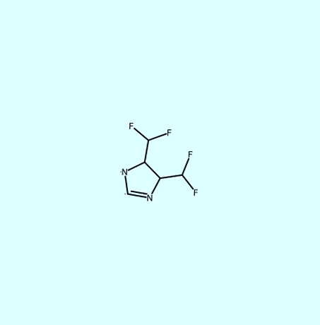 FC(F)C1[N][C]=NC1C(F)F